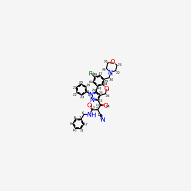 N#CC(C(=O)NCc1ccccc1)C(=O)c1nn(-c2ccccc2)c2c1COc1c(CN3CCOCC3)cc(F)cc1-2